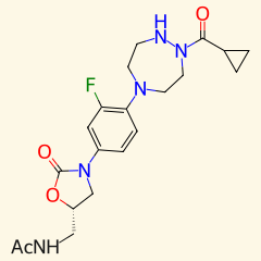 CC(=O)NC[C@H]1CN(c2ccc(N3CCNN(C(=O)C4CC4)CC3)c(F)c2)C(=O)O1